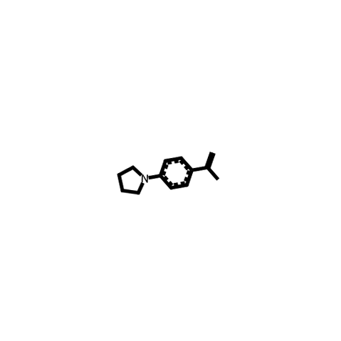 C=C(C)c1ccc(N2CCCC2)cc1